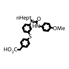 CCCCCCCN(C(=O)Nc1ccc(OC)cc1)c1cccc(Sc2ccc(CC(=O)O)cc2)c1